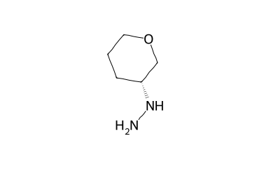 NN[C@@H]1CCCOC1